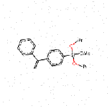 C=C(c1ccccc1)c1ccc([Si](OC)(OC(C)C)OC(C)C)cc1